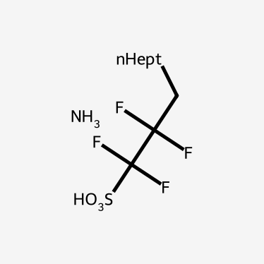 CCCCCCCCC(F)(F)C(F)(F)S(=O)(=O)O.N